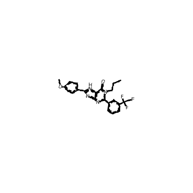 CCCn1c(-c2cccc(C(F)(F)F)c2)nc2nc(-c3ccc(OC)cc3)[nH]c2c1=O